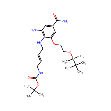 CC(C)(C)OC(=O)NC/C=C/CNc1c(N)cc(C(N)=O)cc1OCCO[Si](C)(C)C(C)(C)C